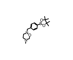 CN1CCN(Cc2ccc(B3OC(C)(C)C(C)(C)O3)cc2)OC1